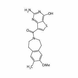 COc1cc2c(cc1C)CCN(C(=O)c1csc3c(O)nc(N)nc13)CC2